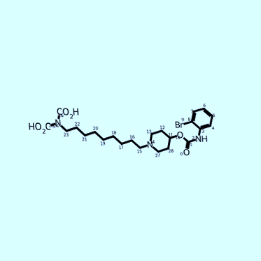 O=C(Nc1ccccc1Br)OC1CCN(CCCCCCCCCN(C(=O)O)C(=O)O)CC1